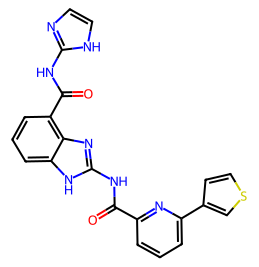 O=C(Nc1nc2c(C(=O)Nc3ncc[nH]3)cccc2[nH]1)c1cccc(-c2ccsc2)n1